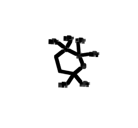 CCCC1(CCC)CC[Si](CCC)(CCC)[Si](CCC)(CCC)O1